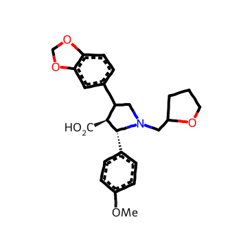 COc1ccc([C@@H]2[C@@H](C(=O)O)C(c3ccc4c(c3)OCO4)CN2CC2CCCO2)cc1